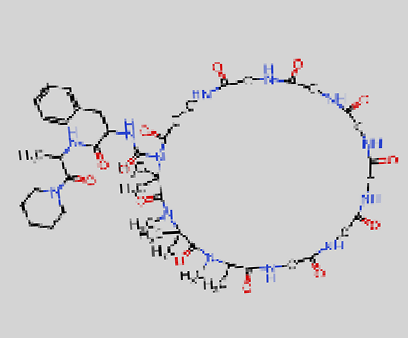 CC(NC(=O)C(Cc1ccccc1)NC(=O)N1C(=O)CCNC(=O)CNC(=O)CNC(=O)CNC(=O)CNC(=O)CNC(=O)CNC(=O)C(C)N(C)C(=O)C(C)(C)N(C)C(=O)C1(C)C)C(=O)N1CCCCC1